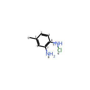 Cc1ccc(NCl)c(N)c1